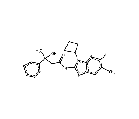 Cc1cc2nc(NC(=O)C[C@](C)(O)c3ccccc3)n(C3CCC3)c2nc1Cl